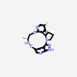 C[C@@H]1CCc2ncc(F)cc2[C@H]2CCCN2c2n[nH]c3ncc(cc23)CN1